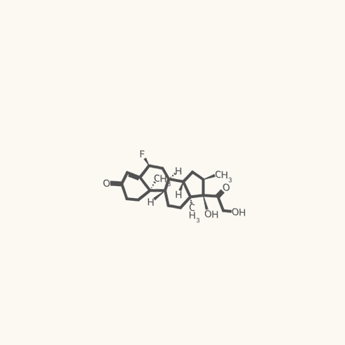 C[C@@H]1C[C@H]2[C@@H]3C[C@H](F)C4=CC(=O)CC[C@]4(C)[C@H]3CC[C@]2(C)[C@@]1(O)C(=O)CO